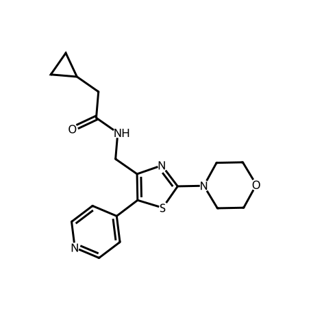 O=C(CC1CC1)NCc1nc(N2CCOCC2)sc1-c1ccncc1